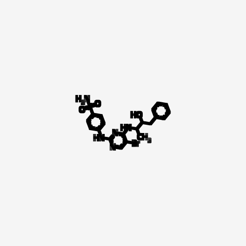 CC(Nc1nc(Nc2ccc(S(N)(=O)=O)cc2)ncc1Br)C(O)Cc1ccccc1